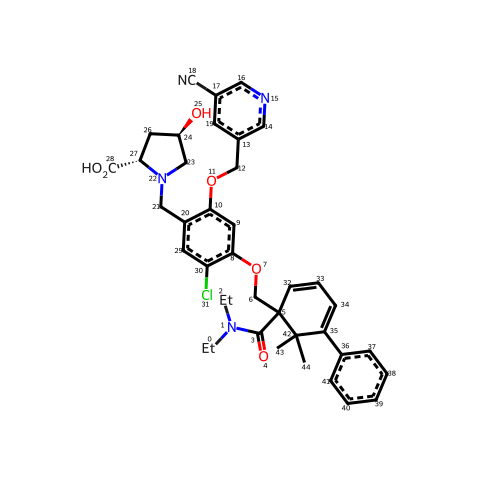 CCN(CC)C(=O)C1(COc2cc(OCc3cncc(C#N)c3)c(CN3C[C@H](O)C[C@H]3C(=O)O)cc2Cl)C=CC=C(c2ccccc2)C1(C)C